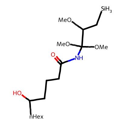 CCCCCCC(O)CCCC(=O)NC(OC)(OC)C(C[SiH3])OC